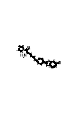 N[C@@H](CCCCN1CCC(c2nc3ccc(Cl)cc3s2)CC1)C(=O)N1CCSC1